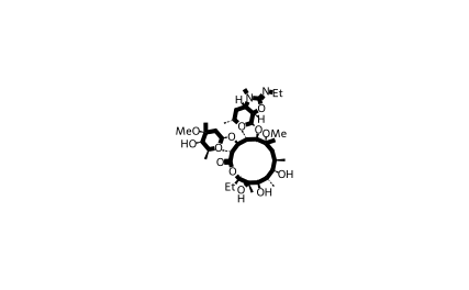 CCN=C1O[C@H]2[C@H](O[C@@H]3[C@@H](C)[C@H](O[C@H]4C[C@@](C)(OC)[C@@H](O)[C@H](C)O4)[C@@H](C)C(=O)O[C@H](CC)[C@@](C)(O)[C@H](O)[C@@H](C)[C@@H](O)[C@H](C)C[C@@]3(C)OC)O[C@H](C)C[C@@H]2N1C